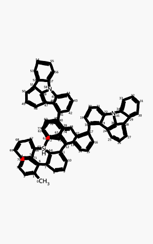 Cc1ccccc1-c1cccc(-c2c3cccc(-c4cccc5c4c4cccc6c7ccccc7n5c64)c3cc3c(-c4cccc5c4c4cccc6c7ccccc7n5c64)cccc23)c1[SiH](c1ccccc1)c1ccccc1